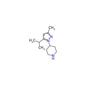 Cc1cc(C(C)C)n(C2CCNCC2)n1